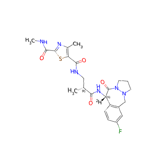 [2H][C@@]1(NC(=O)[C@H](C)CNC(=O)c2sc(C(=O)NC)nc2C)C(=O)N2CCCN2Cc2cc(F)ccc21